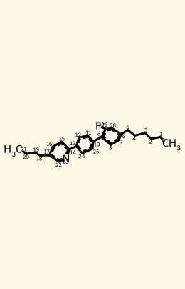 CCCCCCc1ccc(-c2ccc(-c3ccc(CCCC)cn3)cc2)c(F)c1